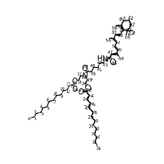 CCCCCCCCCCCCCC(=O)OCCN(CCOC(=O)CCCCCCCCCCCCC)C(=O)CCCCCNC(=O)C=C(C)C=CC=C(C)C=CC1=C(C)CCCC1(C)C